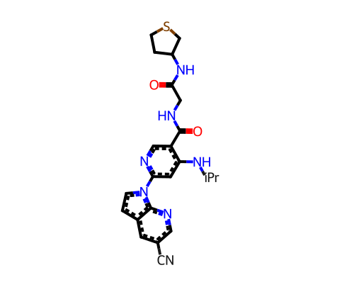 CC(C)Nc1cc(-n2ccc3cc(C#N)cnc32)ncc1C(=O)NCC(=O)NC1CCSC1